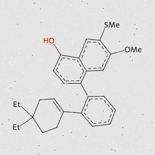 CCC1(CC)CC=C(c2ccccc2-c2ccc(O)c3cc(SC)c(OC)cc23)CC1